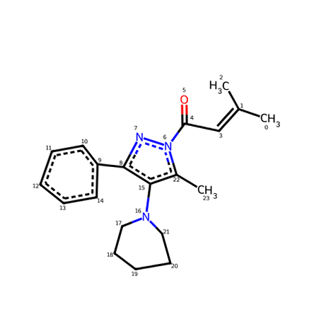 CC(C)=CC(=O)n1nc(-c2ccccc2)c(N2CCCCC2)c1C